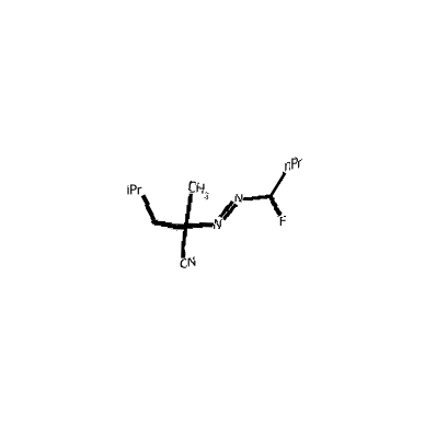 CCCC(F)N=NC(C)(C#N)CC(C)C